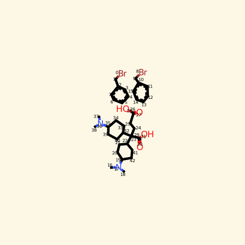 BrCc1ccccc1.BrCc1ccccc1.CN(C)C1CCC(C(CCC(=O)O)(C(=O)O)C2CCC(N(C)C)CC2)CC1